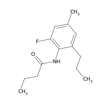 CCCC(=O)Nc1c(F)cc(C)cc1CCC